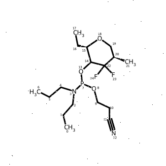 CCCN(CCC)P(OCCC#N)OC1[C@@H](CC)OC[C@@H](C)C1(F)F